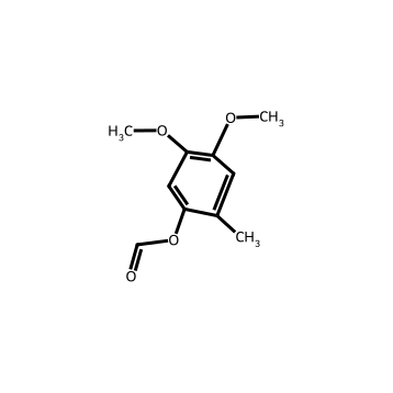 COc1cc(C)c(OC=O)cc1OC